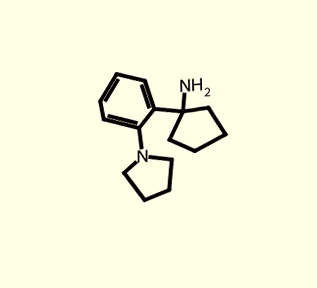 NC1(c2ccccc2N2CCCC2)CCCC1